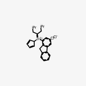 CC(C)C[C](CC(C)C)=[Zr+2]([c]1cccc2c1Cc1ccccc1-2)[CH]1C=CC=C1.[Cl-].[Cl-]